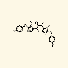 CCn1c(C(C)C(=O)C(C)c2cnc(Oc3ccc(F)cc3)n2CC)cnc1Oc1ccc(F)cc1